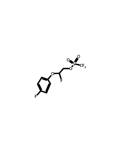 O=S(=O)(OCC(F)Oc1ccc(F)cc1)C(F)(F)F